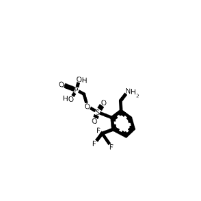 NCc1cccc(C(F)(F)F)c1S(=O)(=O)OCP(=O)(O)O